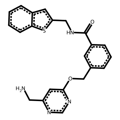 NCc1cc(OCc2cccc(C(=O)NCc3cc4ccccc4s3)c2)ncn1